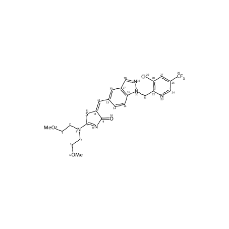 COCCN(CCOC)C1=NC(=O)/C(=C\c2ccc3c(cnn3Cc3ncc(C(F)(F)F)cc3Cl)c2)S1